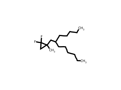 CCCCCCC(CCCCC)CC1(C)CC1(F)F